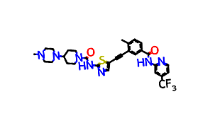 Cc1ccc(C(=O)Nc2cc(C(F)(F)F)ccn2)cc1C#Cc1cnc(NC(=O)N2CCC(N3CCN(C)CC3)CC2)s1